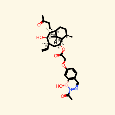 C=C[C@]1(C)C[C@@H](OC(=O)COc2ccc3c(c2)B(O)N(C(C)=O)N=C3)[C@]2(C)[C@H](C)CC[C@@](CCC(C)=O)([C@H]2C)[C@@H](C)[C@@H]1O